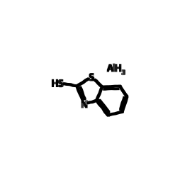 Sc1nc2ccccc2s1.[AlH3]